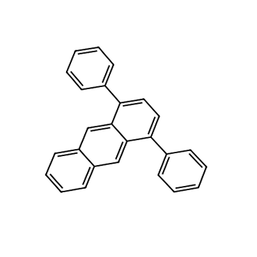 c1ccc(-c2ccc(-c3ccccc3)c3cc4ccccc4cc23)cc1